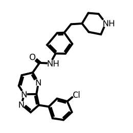 O=C(Nc1ccc(CC2CCNCC2)cc1)c1ccn2ncc(-c3cccc(Cl)c3)c2n1